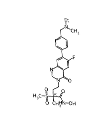 CCN(C)Cc1ccc(-c2cc3ncn(CC[C@](C)(C(=O)NO)S(C)(=O)=O)c(=O)c3cc2F)cc1